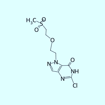 CS(=O)(=O)CCOCCn1ncc2nc(Cl)[nH]c(=O)c21